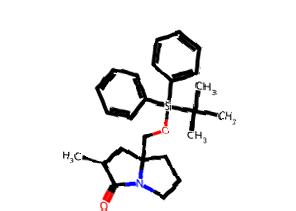 C[C@H]1CC2(CO[Si](c3ccccc3)(c3ccccc3)C(C)(C)C)CCCN2C1=O